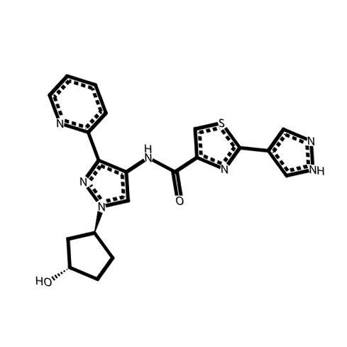 O=C(Nc1cn([C@H]2CC[C@H](O)C2)nc1-c1ccccn1)c1csc(-c2cn[nH]c2)n1